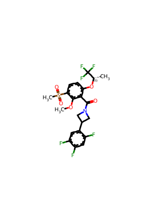 COc1c(S(C)(=O)=O)ccc(O[C@@H](C)C(F)(F)F)c1C(=O)N1CC(c2cc(F)c(F)cc2F)C1